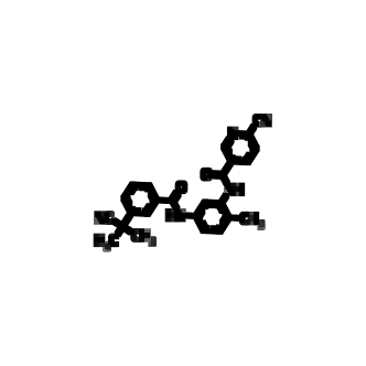 Cc1ccc(NC(=O)c2cccc(C(C)(C)C#N)c2)cc1NC(=O)c1ccc(C#N)nc1